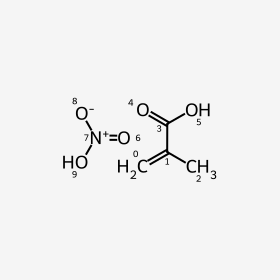 C=C(C)C(=O)O.O=[N+]([O-])O